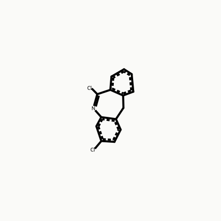 ClC1=Nc2cc(Cl)ccc2Cc2ccccc21